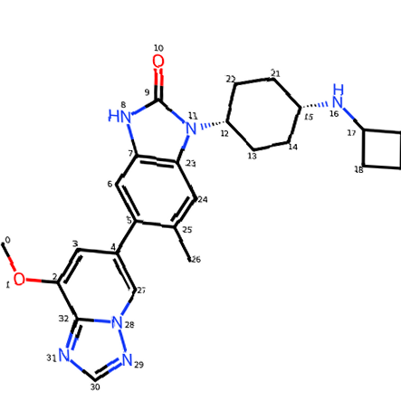 COc1cc(-c2cc3[nH]c(=O)n([C@H]4CC[C@@H](NC5CCC5)CC4)c3cc2C)cn2ncnc12